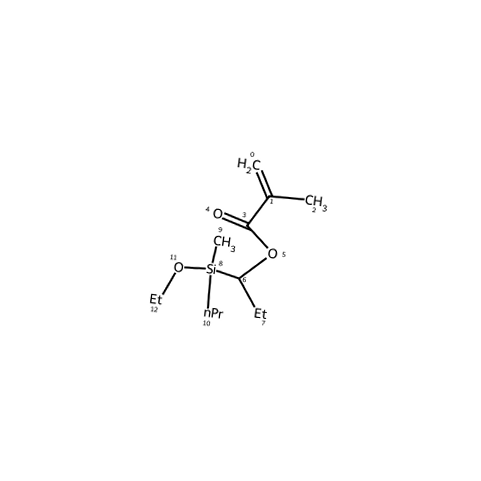 C=C(C)C(=O)OC(CC)[Si](C)(CCC)OCC